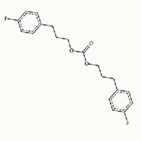 O=C(OCCCc1ccc(F)cc1)OCCCc1ccc(F)cc1